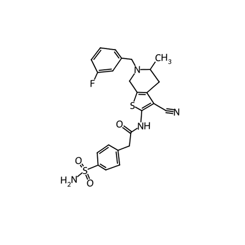 CC1Cc2c(sc(NC(=O)Cc3ccc(S(N)(=O)=O)cc3)c2C#N)CN1Cc1cccc(F)c1